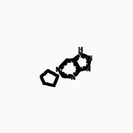 C1CCCC1.c1ncc2[nH]nnc2n1